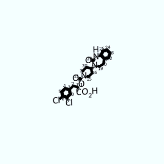 O=C(O)C(Cc1ccc(Cl)c(Cl)c1)OC(=O)N1CCC(N2CCc3ccccc3NC2=O)CC1